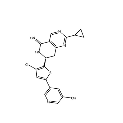 N#Cc1cncc(-c2cc(Cl)c([C@@H]3Cc4nc(C5CC5)ncc4C(=N)N3)s2)c1